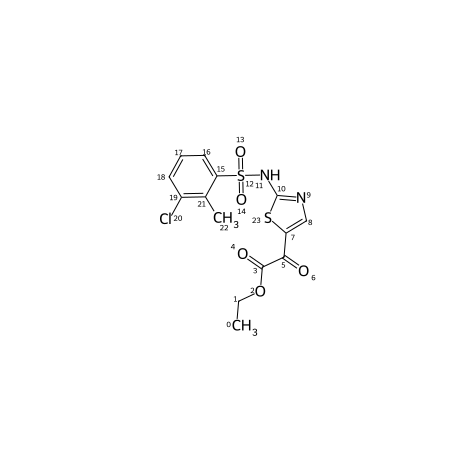 CCOC(=O)C(=O)c1cnc(NS(=O)(=O)c2cccc(Cl)c2C)s1